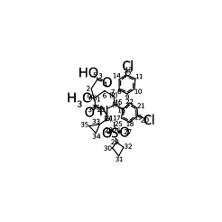 C[C@]1(CC(=O)O)C[C@H](c2cccc(Cl)c2)[C@@H](c2ccc(Cl)cc2)N([C@H](CS(=O)(=O)C2CCC2)C2CC2)C1=O